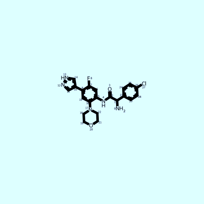 NC(C(=O)Nc1cc(F)c(-c2cn[nH]c2)cc1N1CCOCC1)c1ccc(Cl)cc1